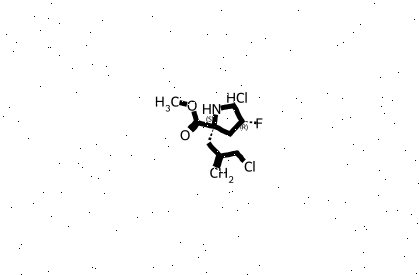 C=C(CCl)C[C@@]1(C(=O)OC)C[C@@H](F)CN1.Cl